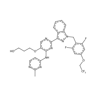 Cc1nccc(Nc2nc(-c3nn(Cc4c(F)cc(OCC(F)(F)F)cc4F)c4ccccc34)ncc2OCCCO)n1